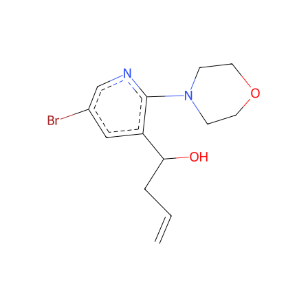 C=CCC(O)c1cc(Br)cnc1N1CCOCC1